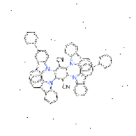 N#Cc1c(-n2c3ccccc3c3ccccc32)c(-n2c3ccccc3c3cc(-c4ccccc4)ccc32)c(C#N)c(-n2c3ccccc3c3ccccc32)c1-n1c2ccccc2c2cc(-c3ccccc3)ccc21